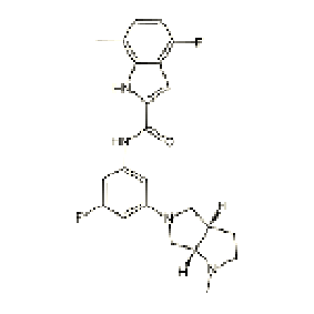 Cc1ccc(F)c2cc(C(=O)Nc3cc(F)cc(N4C[C@@H]5CCN(C)[C@@H]5C4)c3)[nH]c12